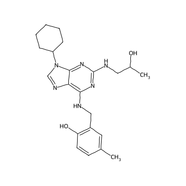 Cc1ccc(O)c(CNc2nc(NCC(C)O)nc3c2ncn3C2CCCCC2)c1